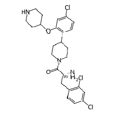 N[C@H](Cc1ccc(Cl)cc1Cl)C(=O)N1CCC(c2ccc(Cl)cc2OC2CCNCC2)CC1